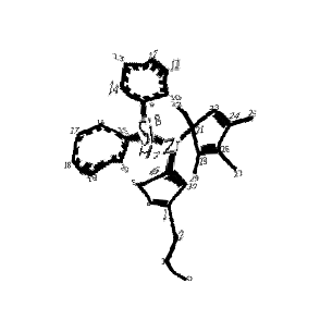 CCCC1=CC[C]([Zr]([SiH](c2ccccc2)c2ccccc2)[C]2(C)C=C(C)C(C)=C2C)=C1